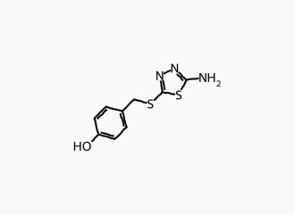 Nc1nnc(SCc2ccc(O)cc2)s1